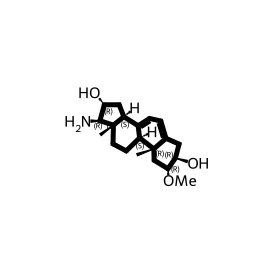 CO[C@@H]1C[C@@]2(C)C(=CC=C3[C@@H]4C[C@@H](O)[C@H](N)[C@@]4(C)CC[C@@H]32)C[C@H]1O